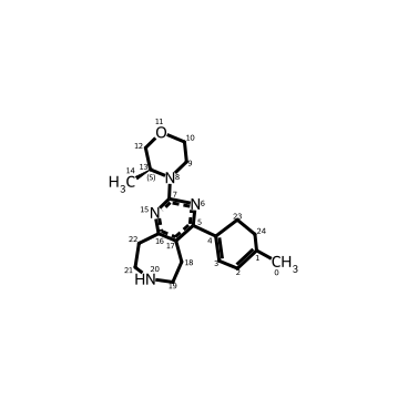 CC1=CC=C(c2nc(N3CCOC[C@@H]3C)nc3c2CCNCC3)CC1